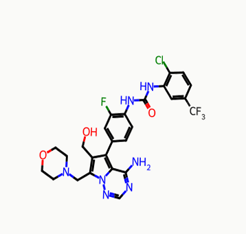 Nc1ncnn2c(CN3CCOCC3)c(CO)c(-c3ccc(NC(=O)Nc4cc(C(F)(F)F)ccc4Cl)c(F)c3)c12